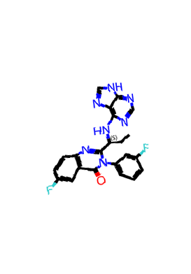 CC[C@H](Nc1ncnc2[nH]cnc12)c1nc2ccc(F)cc2c(=O)n1-c1cccc(F)c1